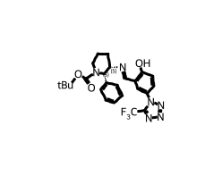 CC(C)(C)OC(=O)N1CCC[C@H](N=Cc2cc(-n3nnnc3C(F)(F)F)ccc2O)[C@@H]1c1ccccc1